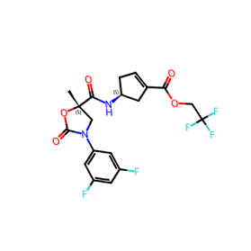 C[C@@]1(C(=O)N[C@H]2CC=C(C(=O)OCC(F)(F)F)C2)CN(c2cc(F)cc(F)c2)C(=O)O1